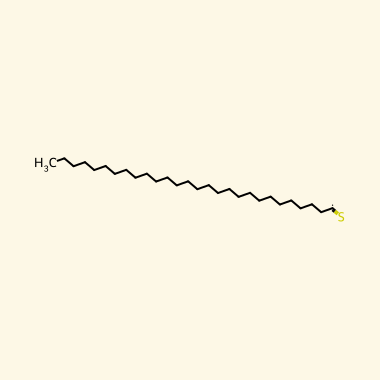 CCCCCCCCCCCCCCCCCCCCCCCCCCC[C]=S